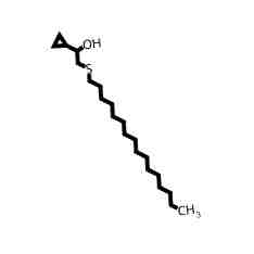 CCCCCCCCCCCCCCCCSCC(O)C1CC1